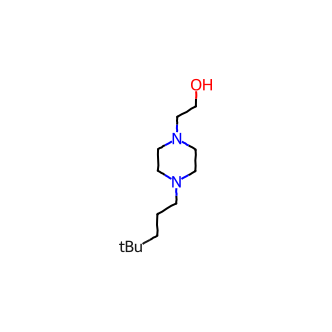 CC(C)(C)CCCN1CCN(CCO)CC1